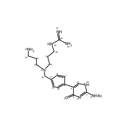 CC(=O)Nc1nc(=O)c(-c2ccc(CN(CCCN)CCCNC(=N)N)cc2)c[nH]1